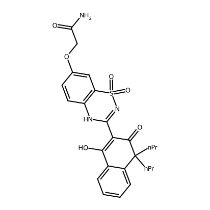 CCCC1(CCC)C(=O)C(C2=NS(=O)(=O)c3cc(OCC(N)=O)ccc3N2)=C(O)c2ccccc21